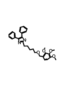 COc1ccc(COCCCCCC2=NC(c3ccccc3)=C(c3ccccc3)[N]2)c(OC)c1OC